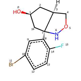 O[C@H]1C[C@H]2CON[C@@]2(c2cc(Br)ccc2F)C1